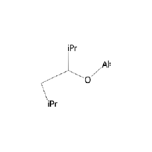 CC(C)CC([O][Al])C(C)C